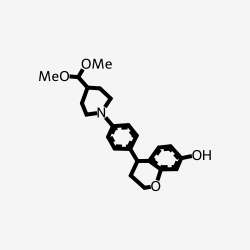 COC(OC)C1CCN(c2ccc(C3CCOc4cc(O)ccc43)cc2)CC1